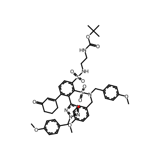 COc1ccc(CN(Cc2ccc(OC)cc2)S(=O)(=O)c2c(S(=O)(=O)NCCNC(=O)OC(C)(C)C)ccc(C3=CC(=O)CCC3)c2-c2nnn(Cc3ccc(OC)cc3)n2)cc1